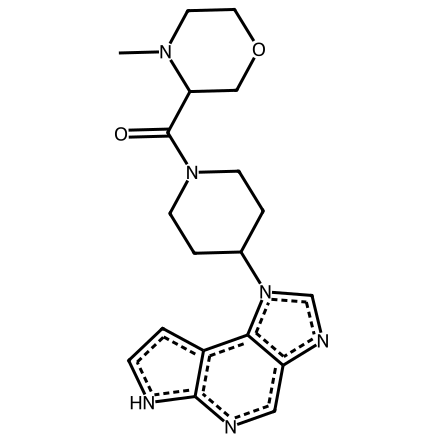 CN1CCOCC1C(=O)N1CCC(n2cnc3cnc4[nH]ccc4c32)CC1